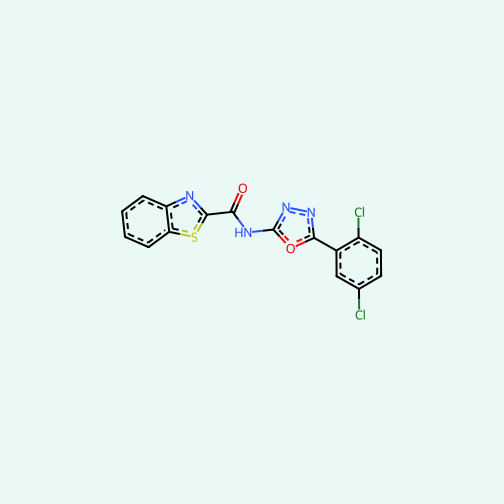 O=C(Nc1nnc(-c2cc(Cl)ccc2Cl)o1)c1nc2ccccc2s1